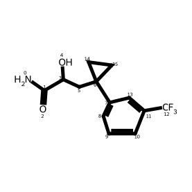 NC(=O)C(O)CC1(c2cccc(C(F)(F)F)c2)CC1